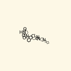 CC1(CN2CCC(n3cc(Cc4ccc5c6c(cccc46)C(=O)N5C4CCC(=O)NC4=O)c(Cl)n3)CC2)CCC1